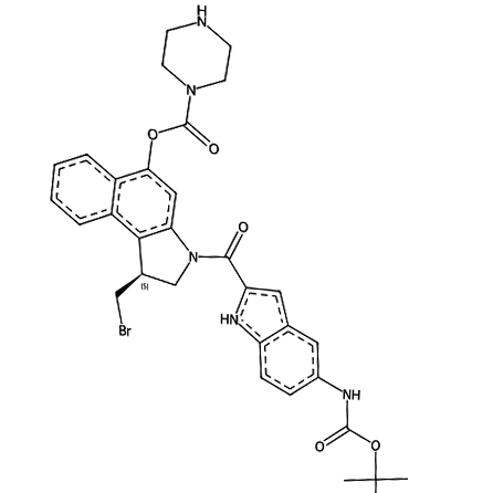 CC(C)(C)OC(=O)Nc1ccc2[nH]c(C(=O)N3C[C@@H](CBr)c4c3cc(OC(=O)N3CCNCC3)c3ccccc43)cc2c1